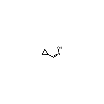 O/N=C\C1CC1